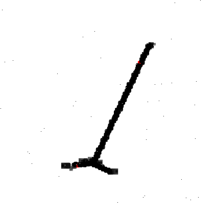 [N-]=[N+]=NCCOCCOCCOCCOCCOCCOCCOCCOCCOCCOCCOCCOCCOCCOCCOCCOCCOCCOCCOCCOCCOCCOCCOCCNC(O)C(CCCCCCCCCCCO)(CCCCCCCCCCC(=O)O)C(=O)O